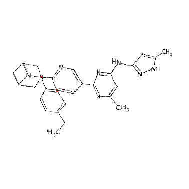 CCc1ccc(CN2C3CC2CN(c2ccc(-c4nc(C)cc(Nc5cc(C)[nH]n5)n4)cn2)C3)cc1